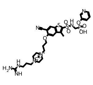 Cc1c(S(=O)(=O)NCP(=O)(O)Oc2cccnc2)sc2cc(C#N)c(OCCC[N+]34CC[N+](CCCNC(=N)N)(CC3)CC4)cc12